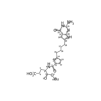 CCC(C)OC(=O)C(CCC(=O)O)NC(=O)c1ccc(CCCCc2cc3c(=O)[nH]c(N)nc3[nH]2)s1